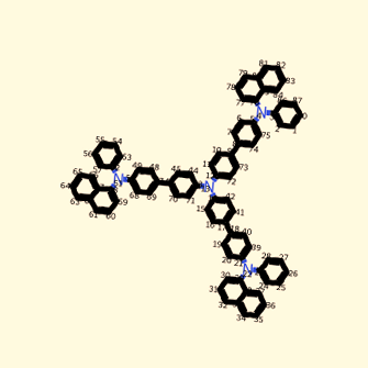 c1ccc(N(c2ccc(-c3ccc(N(c4ccc(-c5ccc(N(c6ccccc6)c6cccc7ccccc67)cc5)cc4)c4ccc(-c5ccc(N(c6ccccc6)c6cccc7ccccc67)cc5)cc4)cc3)cc2)c2cccc3ccccc23)cc1